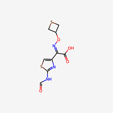 O=CNc1nc(C(=NOC2CSC2)C(=O)O)cs1